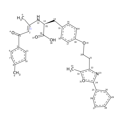 C/C(=C\C(=O)c1ccc(C)cc1)N[C@@H](Cc1ccc(OCCc2nc(-c3ccccc3)oc2C)cc1)C(=O)O